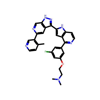 Cc1ccncc1-c1cc2c(-c3cc4c(-c5cc(F)cc(OCCN(C)C)c5)nccc4[nH]3)n[nH]c2cn1